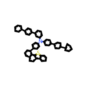 c1ccc(-c2ccc(-c3ccc(N(c4ccc(-c5cccc6ccc7c8ccccc8sc7c56)cc4)c4cccc(-c5ccc(-c6ccccc6)cc5)c4)cc3)cc2)cc1